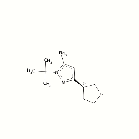 CC(C)(C)n1nc([C@H]2C[CH]CC2)cc1N